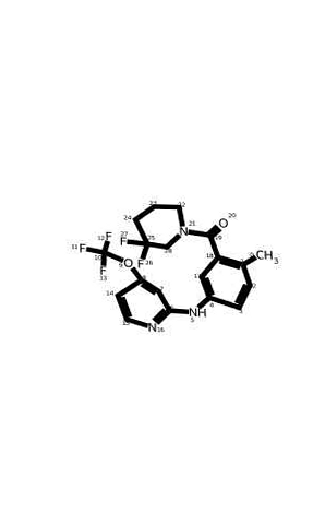 Cc1ccc(Nc2cc(OC(F)(F)F)ccn2)cc1C(=O)N1CCCC(F)(F)C1